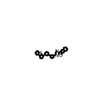 c1cc(-c2cccc(-c3cccc4c3sc3ccccc34)c2)cc(-c2cnc3c(n2)oc2cc4ccccc4cc23)c1